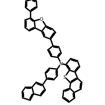 c1ccc(-c2cccc3c2oc2ccc(-c4ccc(N(c5ccc(-c6ccc7ccccc7c6)cc5)c5cccc6c5sc5c7ccccc7ccc65)cc4)cc23)cc1